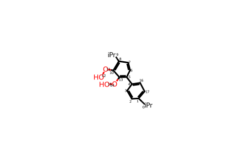 CC(C)c1ccc(-c2ccc(C(C)C)c(OO)c2OO)cc1